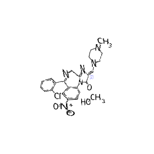 CN1CCN(/C=C2\N=C3CN=C(c4ccccc4Cl)c4cc([N+](=O)[O-])ccc4N3C2=O)CC1.CO